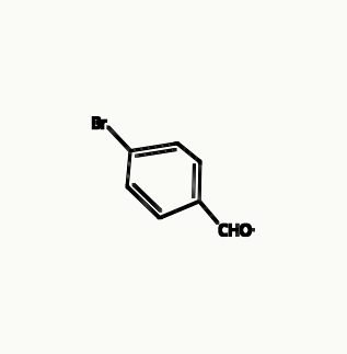 O=[C]c1ccc(Br)cc1